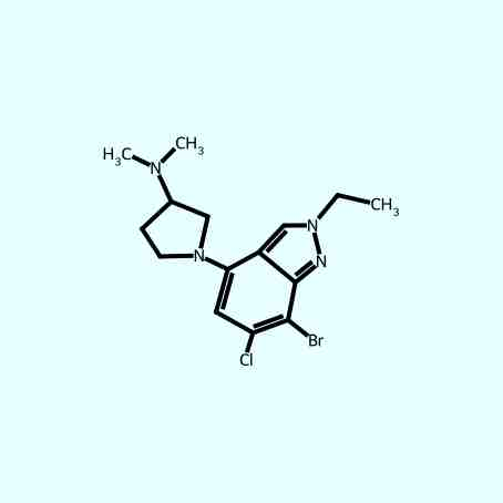 CCn1cc2c(N3CCC(N(C)C)C3)cc(Cl)c(Br)c2n1